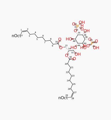 CCCCCCCC/C=C\CCCCCCCC(=O)OC[C@H](CO)OC(=O)CCCCCCC/C=C\CCCCCCCC.O=P(O)(O)O[C@@H]1[C@H](O)[C@H](OP(=O)(O)O)[C@@H](O)[C@H](O)[C@H]1O